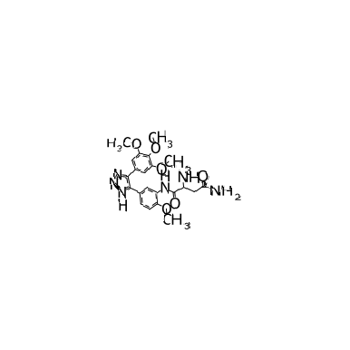 COc1ccc(-c2[nH]nnc2-c2cc(OC)c(OC)c(OC)c2)cc1NC(=O)C(N)CC(N)=O